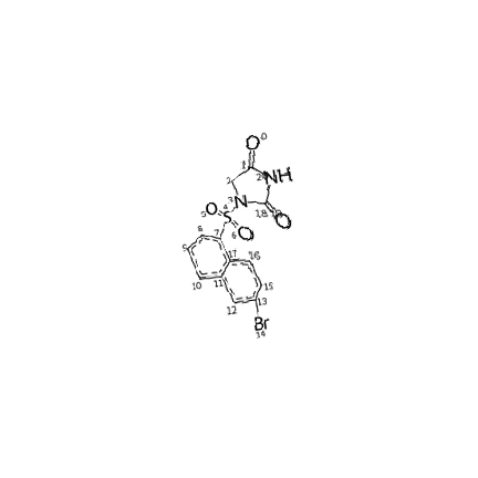 O=C1CN(S(=O)(=O)c2cccc3cc(Br)ccc23)C(=O)N1